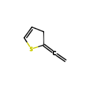 C=C=C1CC=CS1